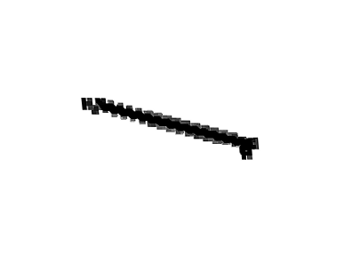 NCCCCCCCCCCCCCCCCCCCCCCCCCCCCCC[SiH](Cl)Cl